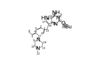 C=C(/C=C\C(=C/C)CN1CCN(C)CC1)Cc1c[nH]c2c(N)nc(OCCCC)nc12